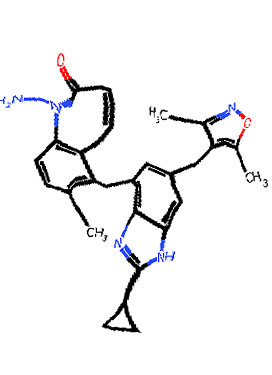 Cc1ccc2c(ccc(=O)n2N)c1-c1cc(-c2c(C)noc2C)cc2[nH]c(C3CC3)nc12